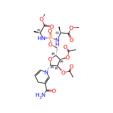 COC(=O)[C@H](C)NP(=O)(N[C@@H](C)C(=O)OC)OC[C@H]1O[C@@H](N2C=CCC(C(N)=O)=C2)[C@H](OC(C)=O)[C@@H]1OC(C)=O